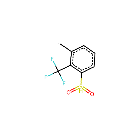 [CH2]c1cccc([SH](=O)=O)c1C(F)(F)F